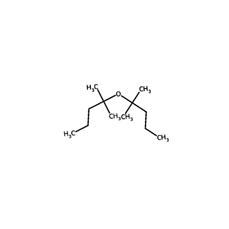 CCCC(C)(C)OC(C)(C)CCC